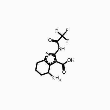 CC1CCCc2sc(NC(=O)C(F)(F)F)c(C(=O)O)c21